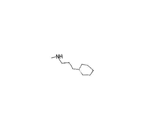 CNCCCC1CCCCC1